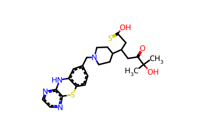 CC(C)(O)C(=O)CC(CC(O)=S)C1CCN(Cc2ccc3c(c2)Nc2nccnc2S3)CC1